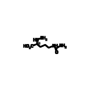 BN[C@@H](CCCNC(N)=O)C(=O)O